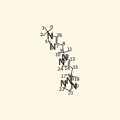 CC(C)(C)n1cnc(CC(C)(C)n2cc(CC(C)(C)n3nccn3)cn2)c1